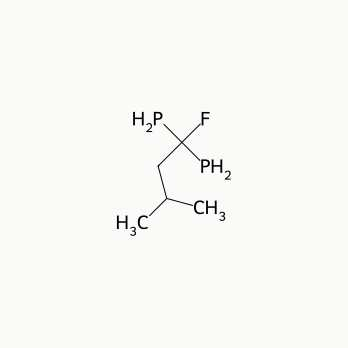 CC(C)CC(F)(P)P